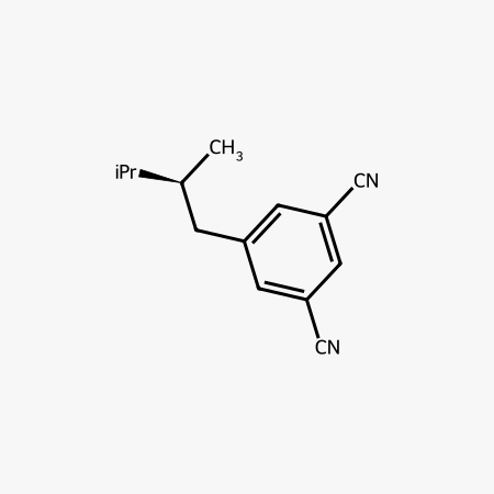 CC(C)[C@@H](C)Cc1cc(C#N)cc(C#N)c1